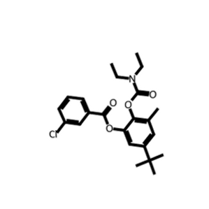 CCN(CC)C(=O)Oc1c(C)cc(C(C)(C)C)cc1OC(=O)c1cccc(Cl)c1